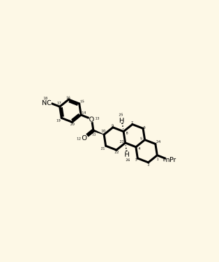 CCCC1CCC2C(CC[C@@H]3C[C@H](C(=O)Oc4ccc(C#N)cc4)CC[C@H]23)C1